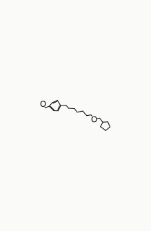 O=Cc1ccc(CCCCCCCOCC2CCCC2)cc1